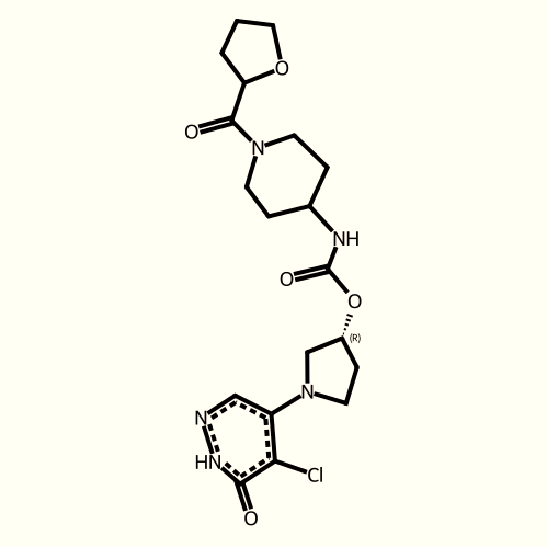 O=C(NC1CCN(C(=O)C2CCCO2)CC1)O[C@@H]1CCN(c2cn[nH]c(=O)c2Cl)C1